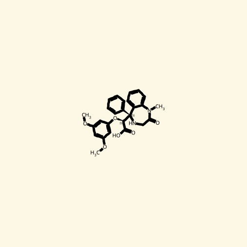 COc1cc(OC)cc(O[C@H](C(=O)O)[C@@]2(c3ccccc3)NCC(=O)N(C)c3ccccc32)c1